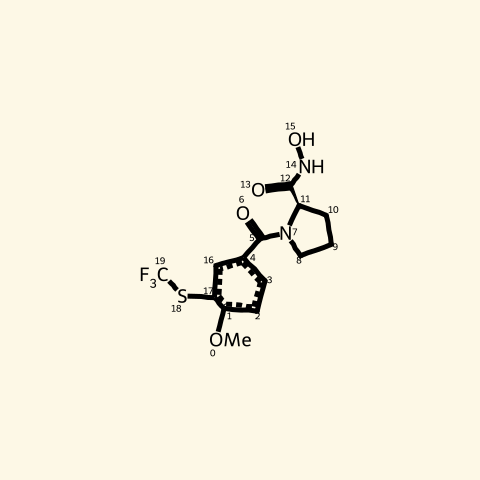 COc1ccc(C(=O)N2CCC[C@@H]2C(=O)NO)cc1SC(F)(F)F